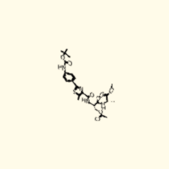 COC(=O)[C@H](C)NC(=O)[C@H](COC(C)=O)NC(=O)c1nc(-c2ccc(NC(=O)OC(C)(C)C)cc2)sc1C